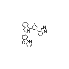 c1cc(-c2cncc(-c3nc(-c4ccc5oc6cccnc6c5c4)nc4ccccc34)c2)c2cncnc2c1